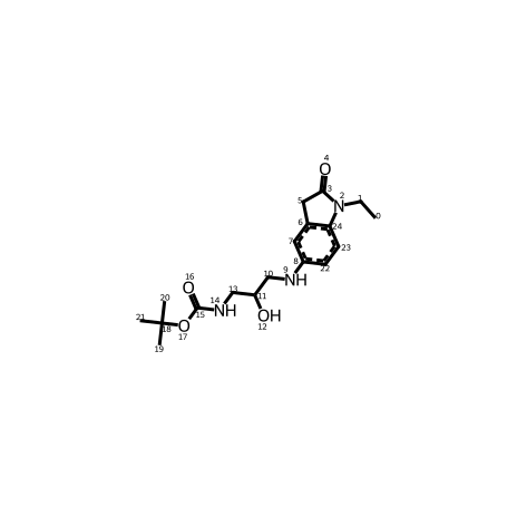 CCN1C(=O)Cc2cc(NCC(O)CNC(=O)OC(C)(C)C)ccc21